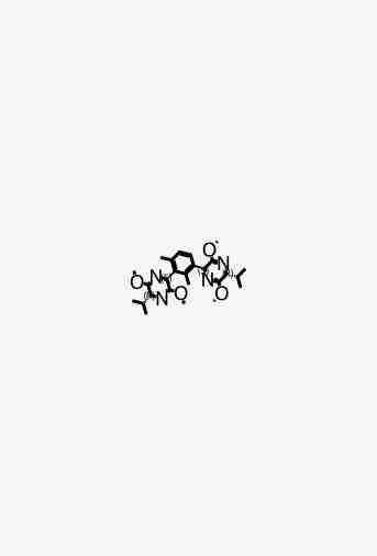 COC1=N[C@H](C(C)C)C(OC)=N[C@H]1c1ccc(C)c([C@@H]2N=C(OC)[C@@H](C(C)C)N=C2OC)c1C